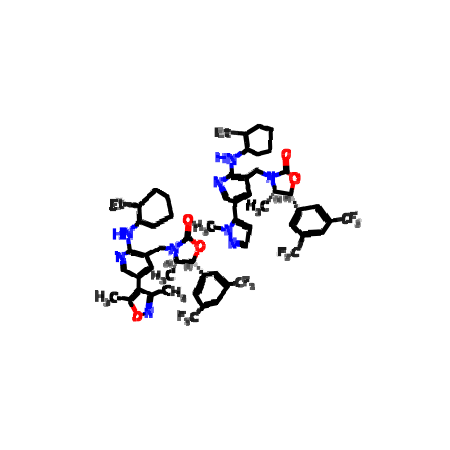 CCC1CCCCC1Nc1ncc(-c2c(C)noc2C)cc1CN1C(=O)O[C@H](c2cc(C(F)(F)F)cc(C(F)(F)F)c2)[C@@H]1C.CCC1CCCCC1Nc1ncc(-c2ccnn2C)cc1CN1C(=O)O[C@H](c2cc(C(F)(F)F)cc(C(F)(F)F)c2)[C@@H]1C